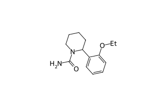 CCOc1ccccc1C1CCCCN1C(N)=O